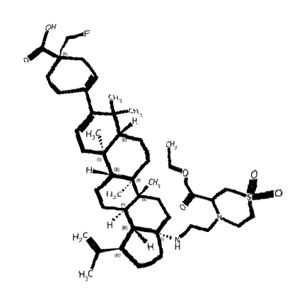 C=C(C)[C@@H]1CC[C@]2(NCCN3CCS(=O)(=O)CC3C(=O)OCC)CC[C@]3(C)[C@H](CC[C@@H]4[C@@]5(C)CC=C(C6=CC[C@@](CF)(C(=O)O)CC6)C(C)(C)[C@@H]5CC[C@]43C)[C@@H]12